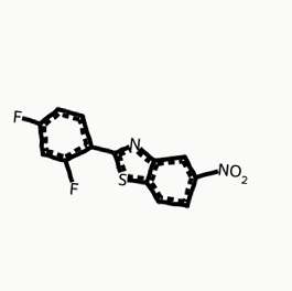 O=[N+]([O-])c1ccc2sc(-c3ccc(F)cc3F)nc2c1